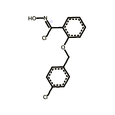 O/N=C(\Cl)c1ccccc1OCc1ccc(Cl)cc1